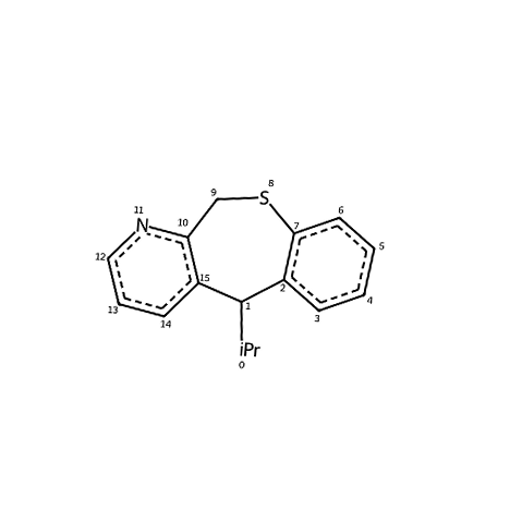 CC(C)C1c2ccccc2SCc2ncccc21